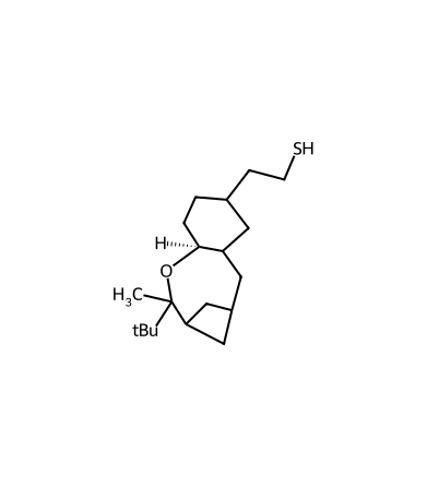 CC(C)(C)C1(C)O[C@H]2CCC(CCS)CC2CC2CC1C2